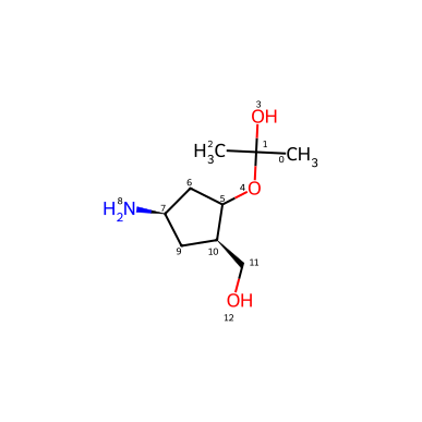 CC(C)(O)OC1C[C@H](N)C[C@@H]1CO